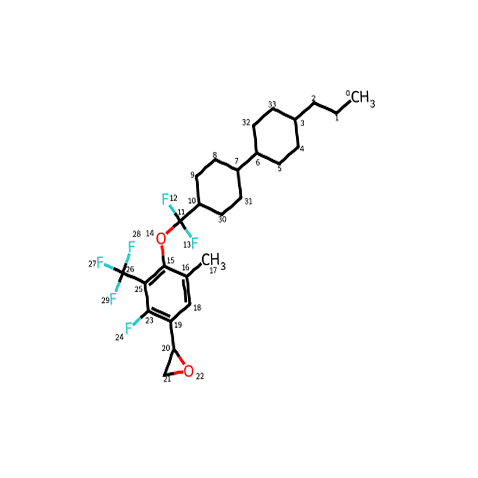 CCCC1CCC(C2CCC(C(F)(F)Oc3c(C)cc(C4CO4)c(F)c3C(F)(F)F)CC2)CC1